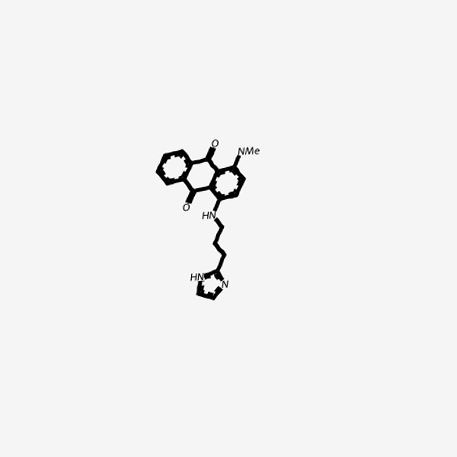 CNc1ccc(NCCCc2ncc[nH]2)c2c1C(=O)c1ccccc1C2=O